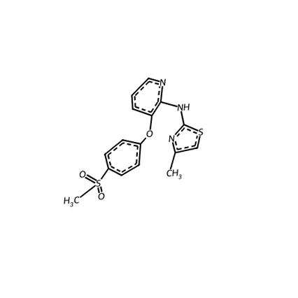 Cc1csc(Nc2ncccc2Oc2ccc(S(C)(=O)=O)cc2)n1